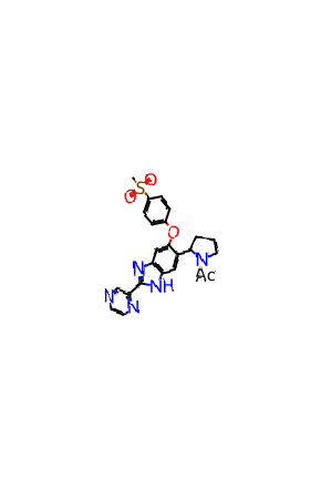 CC(=O)N1CCCC1c1cc2[nH]c(-c3cnccn3)nc2cc1Oc1ccc(S(C)(=O)=O)cc1